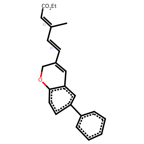 CCOC(=O)/C=C(C)/C=C/C1=Cc2cc(-c3ccccc3)ccc2OC1